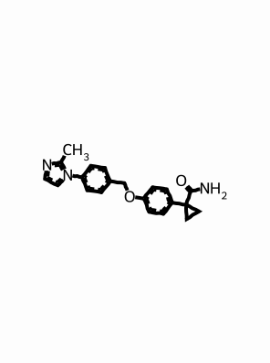 Cc1nccn1-c1ccc(COc2ccc(C3(C(N)=O)CC3)cc2)cc1